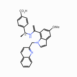 C=C(N[C@@H](C)c1ccc(C(=O)O)cc1)c1cc(OC)cc2ccn(Cc3ccc4ccccc4n3)c12